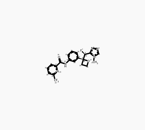 Cn1cnnc1[C@H](F)[C@@]1(c2cccc(NC(=O)c3cccc(C(F)(F)F)n3)c2)CCO1